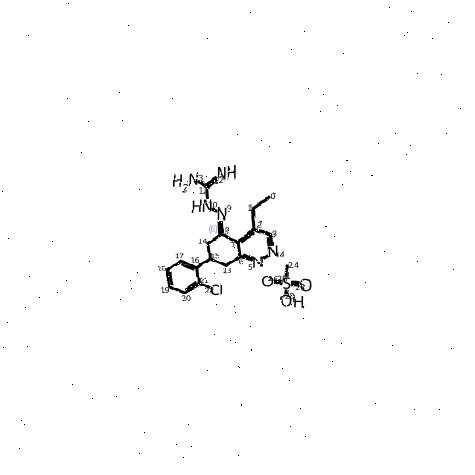 CCc1cnnc2c1/C(=N/NC(=N)N)CC(c1ccccc1Cl)C2.CS(=O)(=O)O